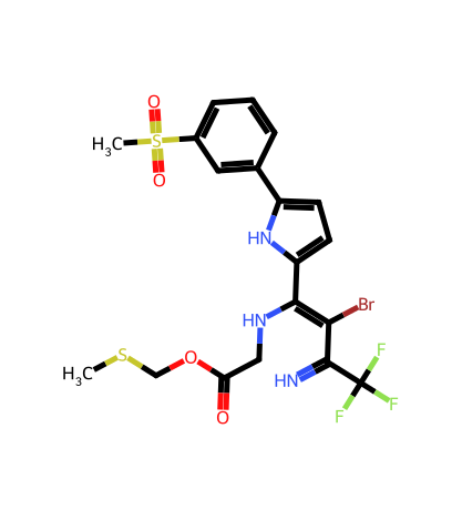 CSCOC(=O)CN/C(=C(/Br)C(=N)C(F)(F)F)c1ccc(-c2cccc(S(C)(=O)=O)c2)[nH]1